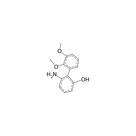 COc1cccc(-c2c(N)cccc2O)c1OC